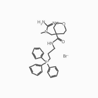 CN(CC1(C(=O)NCCC[P+](c2ccccc2)(c2ccccc2)c2ccccc2)CCOCC1)C(=N)N.[Br-]